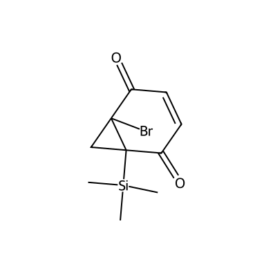 C[Si](C)(C)C12CC1(Br)C(=O)C=CC2=O